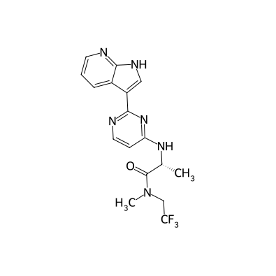 C[C@@H](Nc1ccnc(-c2c[nH]c3ncccc23)n1)C(=O)N(C)CC(F)(F)F